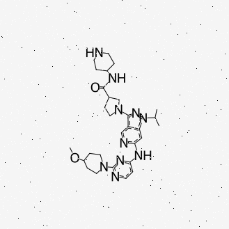 COC1CCN(c2nccc(Nc3cc4c(cn3)c(N3CCC(C(=O)NC5CCNCC5)C3)nn4C(C)C)n2)CC1